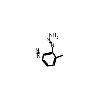 Cc1ccccc1N=NN.N#N